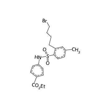 CCOC(=O)c1ccc(NS(=O)(=O)c2ccc(C)cc2CCCCBr)cc1